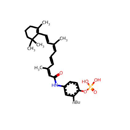 CCCCc1cc(NC(=O)C=C(C)C=CC=C(C)C=CC2=C(C)CCCC2(C)C)ccc1OP(=O)(O)O